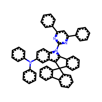 c1ccc(-c2cc(-c3ccccc3)nc(-n3c4c(c5cc(N(c6ccccc6)c6ccccc6)ccc53)C3(c5ccccc5-c5ccccc53)c3ccccc3-4)n2)cc1